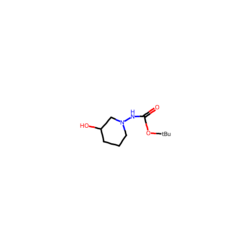 CC(C)(C)OC(=O)NN1CCCC(O)C1